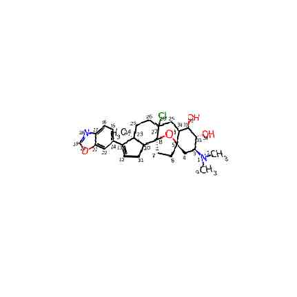 CN(C)[C@H]1C[C@@]23CC[C@]4(O2)C2CC=C(c5ccc6ncoc6c5)[C@@]2(C)CCC4(Cl)CC3[C@@H](O)[C@@H]1O